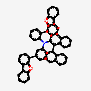 c1cc(-c2cccc3c2oc2ccccc23)cc(N(c2ccccc2-c2cccc3c2oc2ccccc23)c2c(-c3cccc4ccccc34)c3ccccc3c3ccccc23)c1